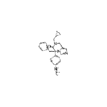 [C-]#[N+]c1ccc(C2(Cc3ccccc3)C(=O)N(CC3CC3)Cc3cncn32)cc1